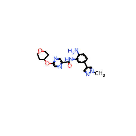 Cn1cc(-c2ccc(N)c(NC(=O)c3cnc(OC4CCOCC4)cn3)c2)cn1